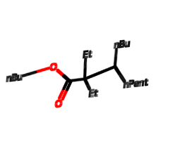 CCCCCC(CCCC)C(CC)(CC)C(=O)OCCCC